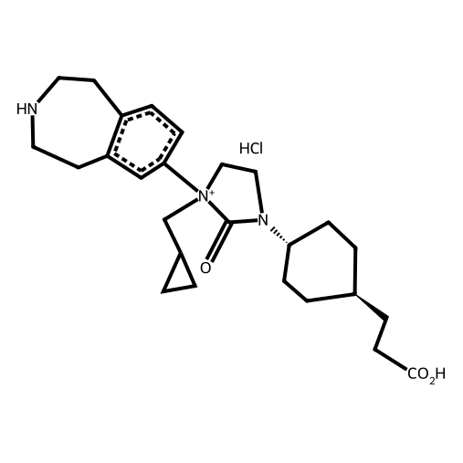 Cl.O=C(O)CC[C@H]1CC[C@H](N2CC[N+](CC3CC3)(c3ccc4c(c3)CCNCC4)C2=O)CC1